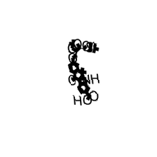 CC1(C)O[C@H](COc2ccc3c(c2)C(C)(C)c2[nH]c4cc(C(=O)O)ccc4c2C3=O)[C@@H](CO[Si](C)(C)C(C)(C)C)O1